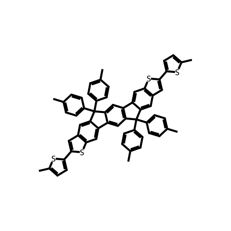 Cc1ccc(C2(c3ccc(C)cc3)c3cc4c(cc3-c3cc5sc(-c6ccc(C)s6)cc5cc32)C(c2ccc(C)cc2)(c2ccc(C)cc2)c2cc3cc(-c5ccc(C)s5)sc3cc2-4)cc1